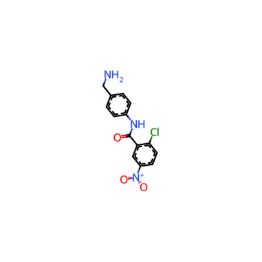 NCc1ccc(NC(=O)c2cc([N+](=O)[O-])ccc2Cl)cc1